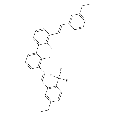 CCc1cccc(/C=C/c2cccc(-c3cccc(/C=C/c4cc(CC)ccc4C(F)(F)F)c3C)c2C)c1